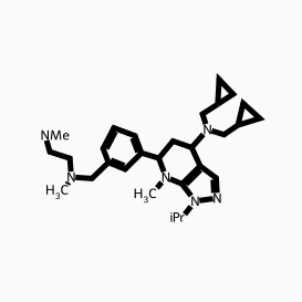 CNCCN(C)Cc1cccc(C2CC(N(CC3CC3)CC3CC3)c3cnn(C(C)C)c3N2C)c1